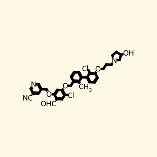 Cc1c(COc2cc(OCc3cncc(C#N)c3)c(C=O)cc2Cl)cccc1-c1cccc(OCCCN2CCC(O)C2)c1Cl